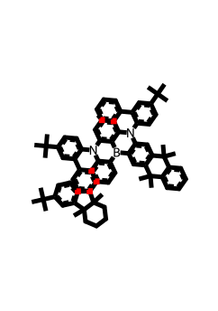 Cc1cc2c3c(c1)N(c1ccc(C(C)(C)C)cc1-c1ccccc1)c1cc4c(cc1B3c1ccc(C3c5ccc(C(C)(C)C)cc5C5(C)CCCCC35C)cc1N2c1ccc(C(C)(C)C)cc1-c1ccccc1)C(C)(C)c1ccccc1C4(C)C